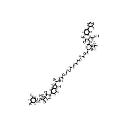 Cc1ncsc1-c1ccc(N(C)C(=O)[C@@H]2C[C@@H](O)CN2C(=O)[C@@H](NC(=O)COCCOCCOCCOCCOCCNC(=O)c2cc3cc(N4CCC(O)(C(=O)NCc5cc(F)cc(F)c5)C4=O)ccc3[nH]2)C(C)(C)C)cc1